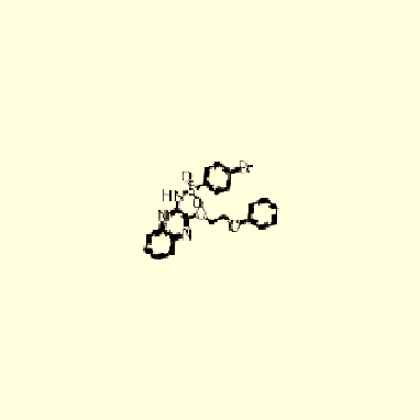 O=S(=O)(Nc1nc2ccccc2nc1OCCOc1ccccc1)c1ccc(Br)cc1